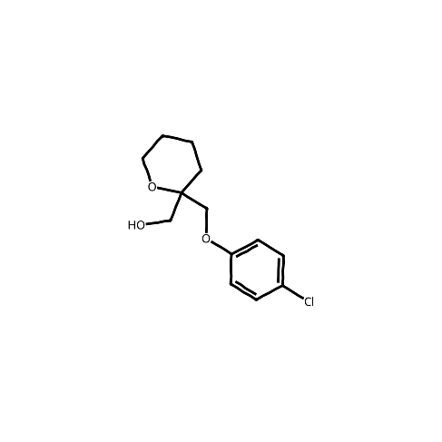 OCC1(COc2ccc(Cl)cc2)CCCCO1